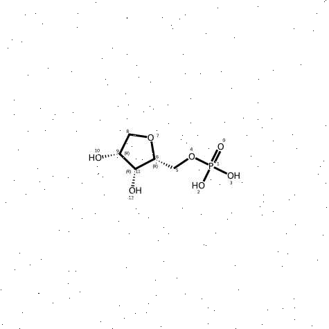 O=P(O)(O)OC[C@H]1OC[C@@H](O)[C@H]1O